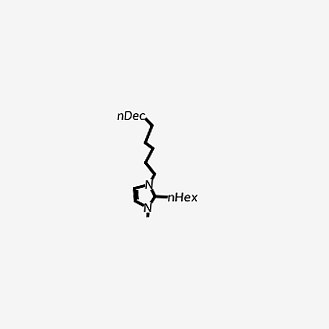 CCCCCCCCCCCCCCCN1C=CN(C)C1CCCCCC